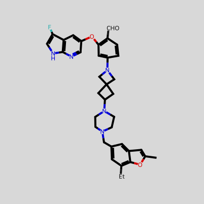 CCc1cc(CN2CCN(C3CC4(C3)CN(c3ccc(C=O)c(Oc5cnc6[nH]cc(F)c6c5)c3)C4)CC2)cc2cc(C)oc12